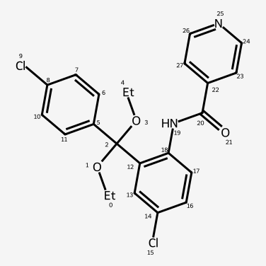 CCOC(OCC)(c1ccc(Cl)cc1)c1cc(Cl)ccc1NC(=O)c1ccncc1